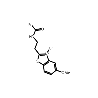 COc1ccc2sc(CCNC(=O)C(C)C)[n+]([O-])c2c1